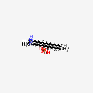 CCCCCCCCCCCCCCCCNC.CCCCCCCCCCCCCCCCNC.O=S(=O)(O)O